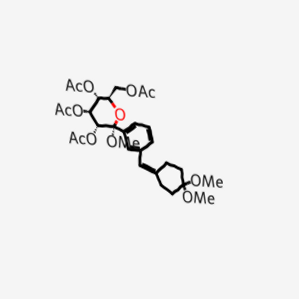 COC1(OC)CCC(=Cc2cccc([C@]3(OC)O[C@H](COC(C)=O)[C@@H](OC(C)=O)[C@H](OC(C)=O)[C@H]3OC(C)=O)c2)CC1